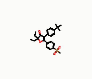 CCC1(CC)OC(c2ccc(S(C)(=O)=O)cc2)=C(c2ccc(C(C)(C)C)cc2)C1=O